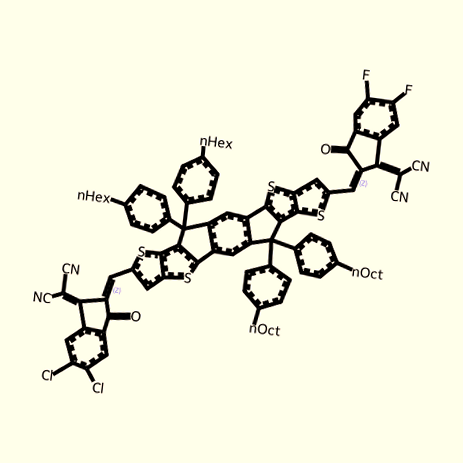 CCCCCCCCc1ccc(C2(c3ccc(CCCCCCCC)cc3)c3cc4c(cc3-c3sc5cc(/C=C6\C(=O)c7cc(F)c(F)cc7C6=C(C#N)C#N)sc5c32)C(c2ccc(CCCCCC)cc2)(c2ccc(CCCCCC)cc2)c2c-4sc3cc(/C=C4\C(=O)c5cc(Cl)c(Cl)cc5C4=C(C#N)C#N)sc23)cc1